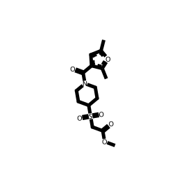 COC(=O)CS(=O)(=O)C1CCN(C(=O)c2cc(C)oc2C)CC1